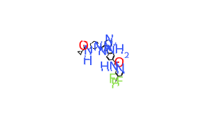 N[N+]12C=CN=CC1=C(N1CCCC(NC(=O)C3CC3)C1)N=C2c1ccc(C(=O)Nc2cc(C(F)(F)F)ccn2)cc1